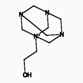 OCC[N+]12CN3CN(CN(C3)C1)C2